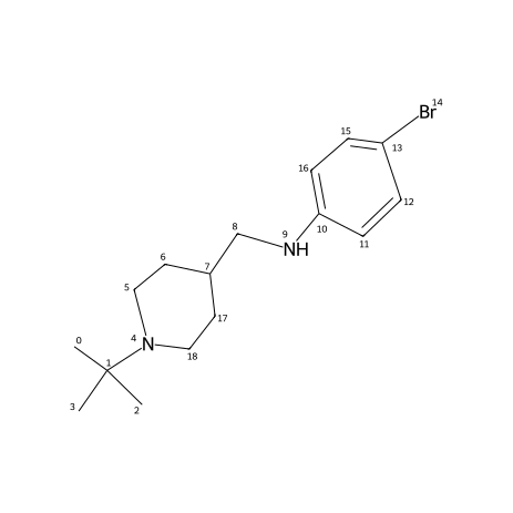 CC(C)(C)N1CCC(CNc2ccc(Br)cc2)CC1